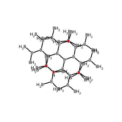 BBB(B)B(B(B(B)B)B(B)B)B(B(B(B)B)B(B)B)B(B(B(B(B)B)B(B)B)B(B(B)B)B(B)B)B(B(B(B)B)B(B)B)B(B(B)B)B(B)B